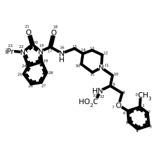 Cc1ccccc1OCC(CN1CCC(CNC(=O)n2c(=O)n(C(C)C)c3ccccc32)CC1)NC(=O)O